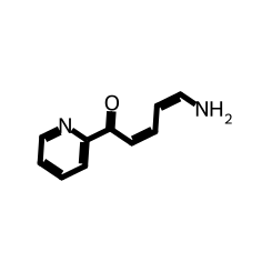 N/C=C\C=C/C(=O)c1ccccn1